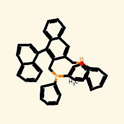 Cc1ccccc1PCc1cc2ccccc2c(-c2cccc3ccccc23)c1CP(c1ccccc1)c1ccccc1